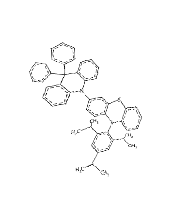 CC(C)c1cc(C(C)C)c(B2c3ccccc3Sc3cc(N4c5ccccc5C(c5ccccc5)(c5ccccc5)c5ccccc54)ccc32)c(C(C)C)c1